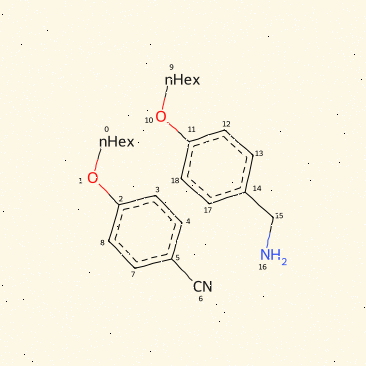 CCCCCCOc1ccc(C#N)cc1.CCCCCCOc1ccc(CN)cc1